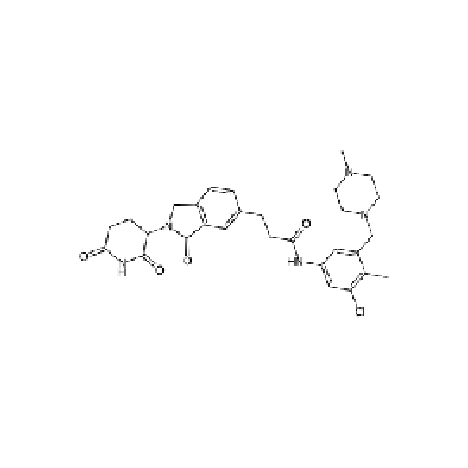 Cc1c(Cl)cc(NC(=O)CCc2ccc3c(c2)C(=O)N(C2CCC(=O)NC2=O)C3)cc1CN1CCN(C)CC1